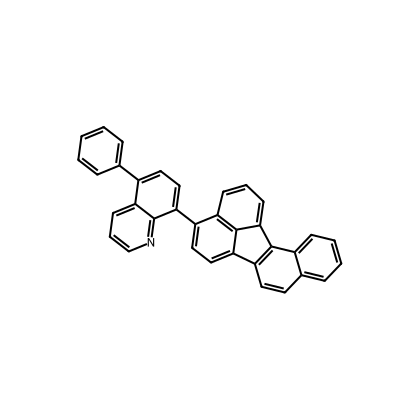 c1ccc(-c2ccc(-c3ccc4c5c(cccc35)-c3c-4ccc4ccccc34)c3ncccc23)cc1